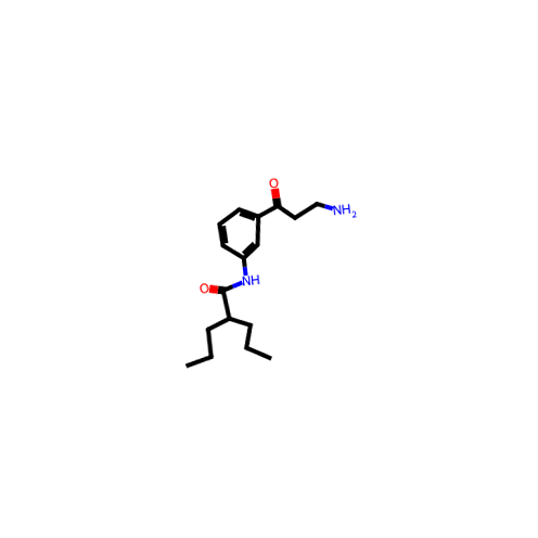 CCCC(CCC)C(=O)Nc1cccc(C(=O)CCN)c1